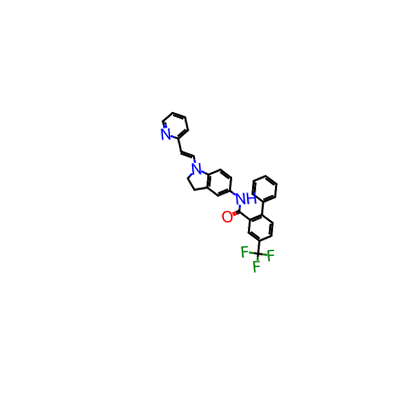 O=C(Nc1ccc2c(c1)CCN2/C=C/c1ccccn1)c1cc(C(F)(F)F)ccc1-c1ccccc1